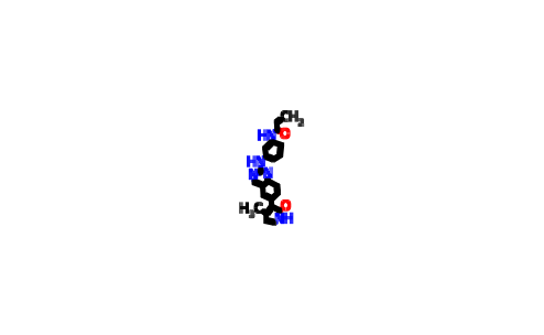 C=CC(=O)Nc1cccc(Nc2ncc3cc(-c4c(C)cc[nH]c4=O)ccc3n2)c1